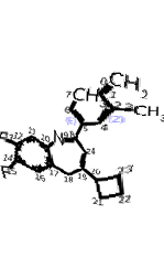 C=C/C(C)=C\C(=C/C)C1=Nc2cc(F)c(F)cc2CC(C2CCC2)=C1